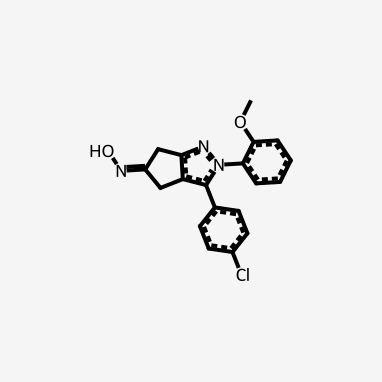 COc1ccccc1-n1nc2c(c1-c1ccc(Cl)cc1)CC(=NO)C2